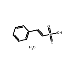 O.O=S(=O)(O)C=Cc1ccccc1